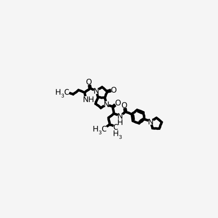 CCCC(N)C(=O)N1CC(=O)C2C1CCN2C(=O)C(CC(C)C)NC(=O)c1ccc(N2CCCC2)cc1